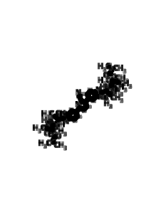 CN(C)C(=O)OC(C)(C(=O)N[C@H](c1nc2ccc(-c3ccc(-c4ccc5nc([C@@H](NC(=O)C(C)(OC(=O)N(C)C)C(C)(C)C)C(C)(C)C)[nH]c5c4)c(C#N)n3)cc2[nH]1)C(C)(C)C)C(C)(C)C